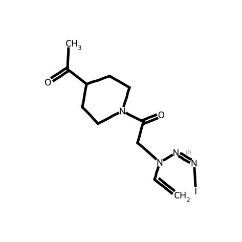 C=CN(CC(=O)N1CCC(C(C)=O)CC1)/N=N\I